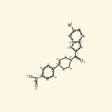 O=C(c1cc2ncc(Br)cn2n1)N1CC=C(c2ccc([N+](=O)[O-])cc2)CC1